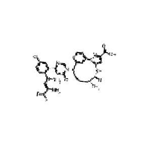 C[C@@H]1CCC[C@H](n2cnc(-c3cc(Cl)ccc3N(N)/C=C(\N)C(F)F)cc2=O)c2cc(ccn2)-n2nc(C(=O)O)cc2NC1=O